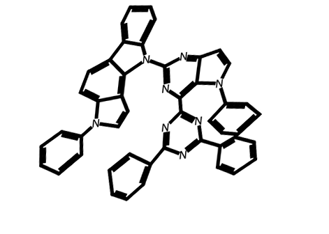 c1ccc(-c2nc(-c3ccccc3)nc(-c3nc(-n4c5ccccc5c5ccc6c(ccn6-c6ccccc6)c54)nc4ccn(-c5ccccc5)c34)n2)cc1